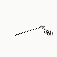 CCCCCCCCCCCCCCCCCC[N+](C)(C)CCCS(=O)(=O)O